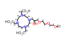 CCOCCOCCOCC(O)CN1CCN(CC(=O)O)CCN(CC(=O)O)CCN(CC(=O)O)CC1